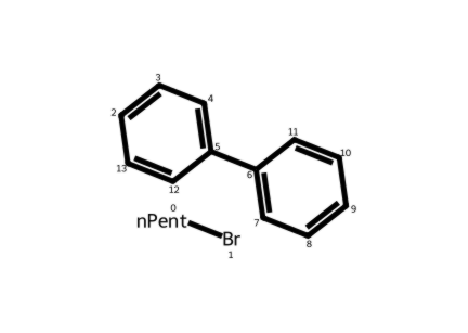 CCCCCBr.c1ccc(-c2ccccc2)cc1